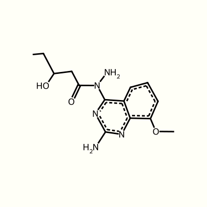 CCC(O)CC(=O)N(N)c1nc(N)nc2c(OC)cccc12